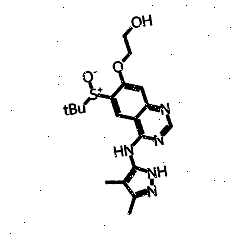 Cc1n[nH]c(Nc2ncnc3cc(OCCO)c([S+]([O-])C(C)(C)C)cc23)c1C